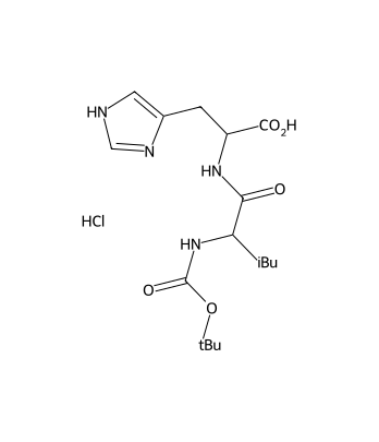 CCC(C)C(NC(=O)OC(C)(C)C)C(=O)NC(Cc1c[nH]cn1)C(=O)O.Cl